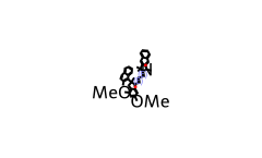 C=C(/C=C/C=C1/N(C)c2cc3ccccc3cc2C1(C)C)C(C)(Cc1ccc(OC)cc1OC)c1c(C)ccc2ccccc12